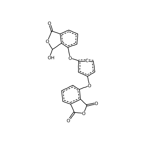 O=C1OC(=O)c2c(Oc3cccc(Oc4cccc5c4C(O)OC5=O)c3)cccc21